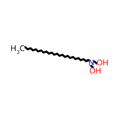 CCCCCCCCCCCCCCCCCCCCCCCCC=CN(CCO)CCO